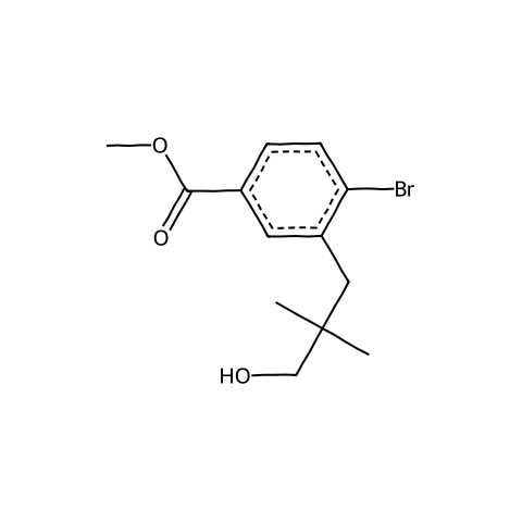 COC(=O)c1ccc(Br)c(CC(C)(C)CO)c1